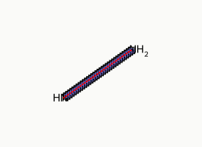 N=N/N=N/N=N/N=N/N=N/N=N/N=N/N=N/N=N/N=N/N=N/N=N/N=N/N=N/N=N/N=N/N=N/N=N/N=N/N=N/N=N/N=N/N=N/N=N/N=N/N=N/N=N/N=N/N=N/N=N/N=N/N=N/N=N/N